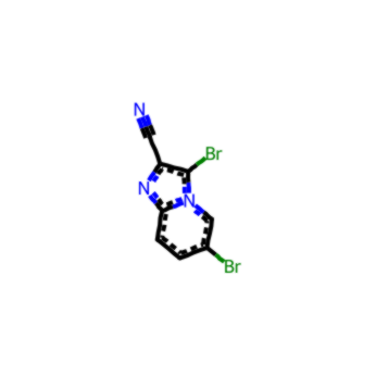 N#Cc1nc2ccc(Br)cn2c1Br